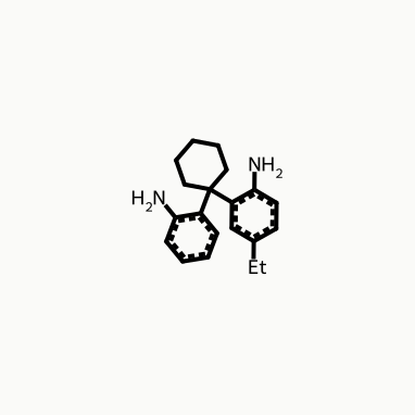 CCc1ccc(N)c(C2(c3ccccc3N)CCCCC2)c1